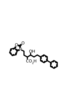 O=C(O)C(CCn1c(=O)oc2ccccc21)C(O)CCc1ccc(-c2ccccc2)cc1